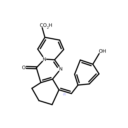 O=C(O)c1ccc2nc3c(c(=O)n2c1)CCC/C3=C/c1ccc(O)cc1